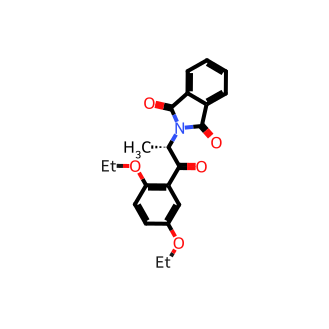 CCOc1ccc(OCC)c(C(=O)[C@H](C)N2C(=O)c3ccccc3C2=O)c1